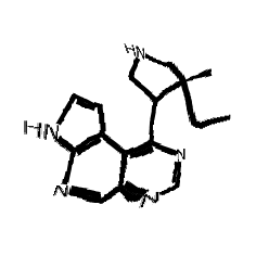 CC[C@@]1(C)CNCC1c1ncnc2cnc3[nH]ccc3c12